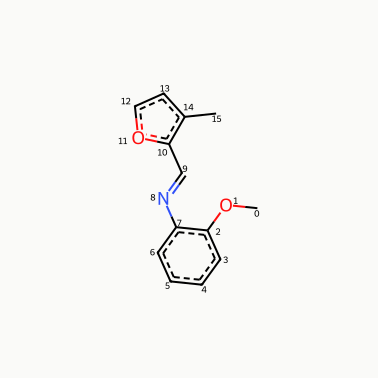 COc1ccccc1N=Cc1occc1C